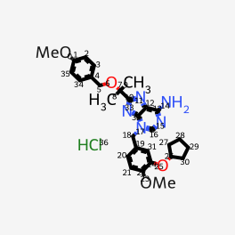 COc1ccc(COC(C)(C)c2nc3c(N)ncn(Cc4ccc(OC)c(OC5CCCC5)c4)c-3n2)cc1.Cl